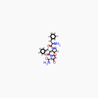 NC(=O)[C@@H]1C(=O)CCN1C(=O)[C@@H](Cc1ccccc1)C1C(=O)CCN1C(=O)C(N)Cc1ccccc1